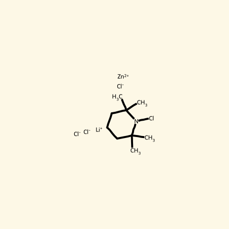 CC1(C)CCCC(C)(C)N1Cl.[Cl-].[Cl-].[Cl-].[Li+].[Zn+2]